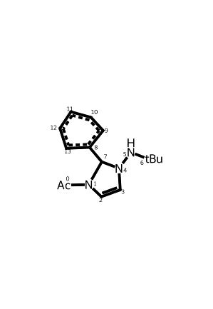 CC(=O)N1C=CN(NC(C)(C)C)C1c1ccccc1